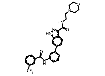 O=C(Nc1cccc(-c2ccc3c(C(=O)NCCN4CCOCC4)n[nH]c3c2)c1)c1cccc(C(F)(F)F)c1